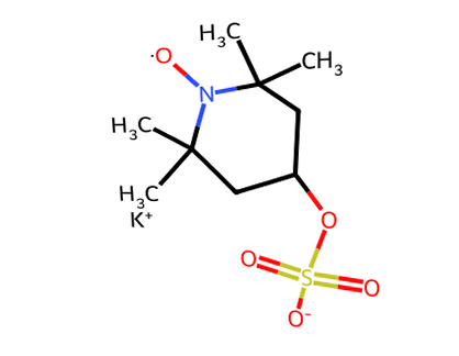 CC1(C)CC(OS(=O)(=O)[O-])CC(C)(C)N1[O].[K+]